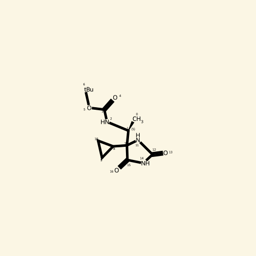 C[C@H](NC(=O)OC(C)(C)C)C1(C2CC2)NC(=O)NC1=O